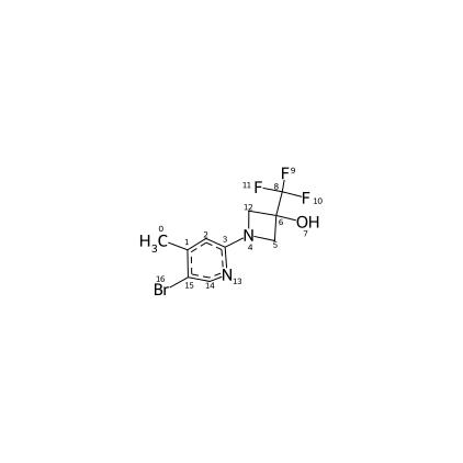 Cc1cc(N2CC(O)(C(F)(F)F)C2)ncc1Br